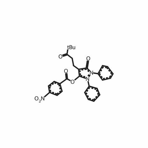 CC(C)(C)C(=O)CCc1c(OC(=O)c2ccc([N+](=O)[O-])cc2)n(-c2ccccc2)n(-c2ccccc2)c1=O